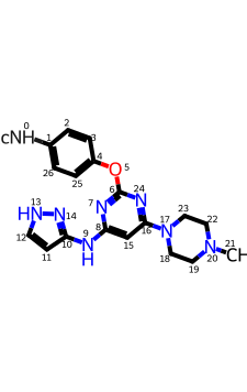 CC(=O)Nc1ccc(Oc2nc(Nc3cc[nH]n3)cc(N3CCN(C)CC3)n2)cc1